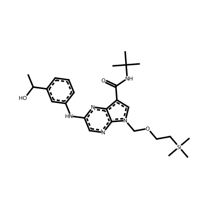 CC(O)c1cccc(Nc2cnc3c(n2)c(C(=O)NC(C)(C)C)cn3COCC[Si](C)(C)C)c1